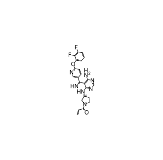 C=CC(=O)N1CC[C@@H](Nc2ncnc(N)c2C(=N)c2ccc(Oc3cccc(F)c3F)nc2)C1